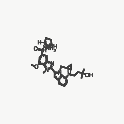 COc1cc(C(=O)N2C[C@H]3CC[C@@H]2[C@@H]3N)cc2nc(-c3cc4cccc(NCCC(C)(C)O)c4n3CC3CC3)n(C)c12